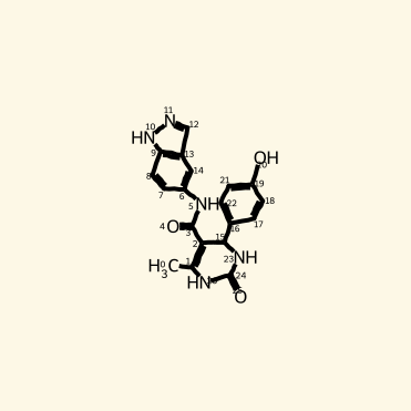 CC1=C(C(=O)Nc2ccc3[nH]ncc3c2)C(c2ccc(O)cc2)NC(=O)N1